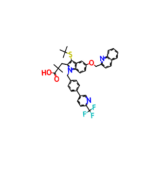 CC(C)(C)Sc1c(CC(C)(C)C(=O)O)n(Cc2ccc(-c3ccc(C(F)(F)F)nc3)cc2)c2ccc(OCc3ccc4ccccc4n3)cc12